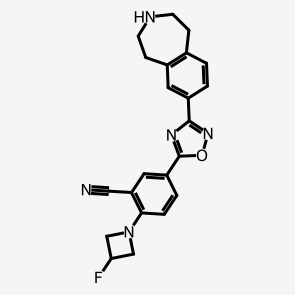 N#Cc1cc(-c2nc(-c3ccc4c(c3)CCNCC4)no2)ccc1N1CC(F)C1